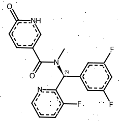 CN(C(=O)c1ccc(=O)[nH]c1)[C@@H](c1cc(F)cc(F)c1)c1ncccc1F